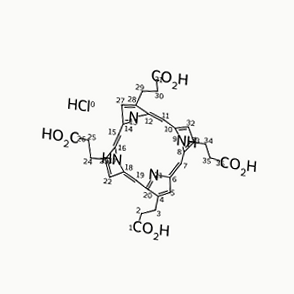 Cl.O=C(O)CCC1=Cc2cc3[nH]c(cc4nc(cc5[nH]c(cc1n2)cc5CCC(=O)O)C=C4CCC(=O)O)cc3CCC(=O)O